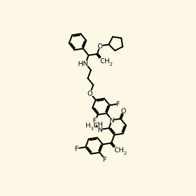 C=C(c1ccc(F)cc1F)c1ccc(=O)n(-c2c(F)cc(OCCCNC(C(=C)OC3CCCC3)c3ccccc3)cc2F)c1NC